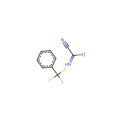 FC(F)(F)c1ccccc1.N#CC(=N)Cl